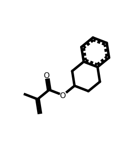 C=C(C)C(=O)OC1CCc2ccccc2C1